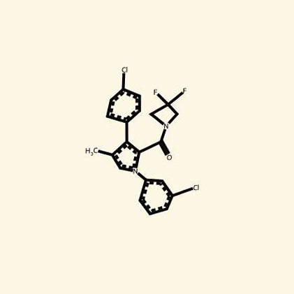 Cc1cn(-c2cccc(Cl)c2)c(C(=O)N2CC(F)(F)C2)c1-c1ccc(Cl)cc1